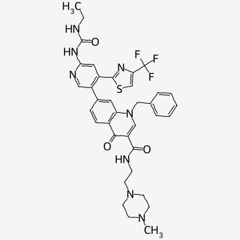 CCNC(=O)Nc1cc(-c2nc(C(F)(F)F)cs2)c(-c2ccc3c(=O)c(C(=O)NCCN4CCN(C)CC4)cn(Cc4ccccc4)c3c2)cn1